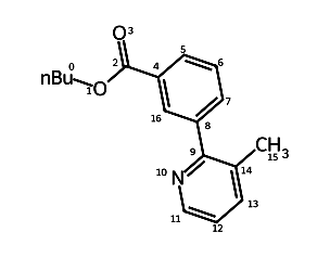 CCCCOC(=O)c1cccc(-c2ncccc2C)c1